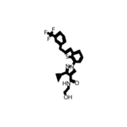 O=C(NCCO)c1cn(-c2cccc3cc(Cc4cccc(C(F)(F)F)c4)sc23)nc1C1CC1